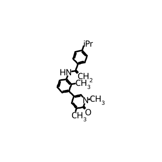 C=C(Nc1cccc(-c2cc(C)c(=O)n(C)c2)c1C)c1ccc(C(C)C)cc1